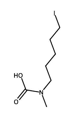 CN(CCCCCI)C(=O)O